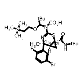 CC(C)(C)NC(=O)[C@]12C[C@H]1[C@@](C)(c1cc(Br)ccc1F)N=C(N(C(=O)O)C(OCC[Si](C)(C)C)C(C)(C)C)S2